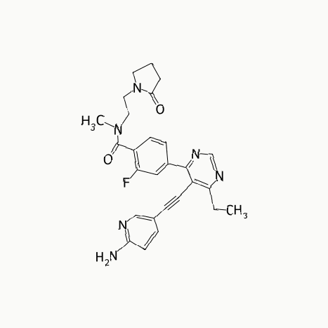 CCc1ncnc(-c2ccc(C(=O)N(C)CCN3CCCC3=O)c(F)c2)c1C#Cc1ccc(N)nc1